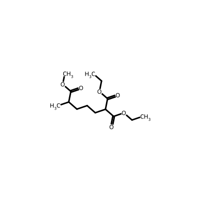 CCOC(=O)C(CCCC(C)C(=O)OC)C(=O)OCC